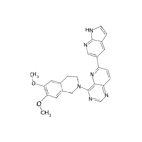 COc1cc2c(cc1OC)CN(c1ncnc3ccc(-c4cnc5[nH]ccc5c4)nc13)CC2